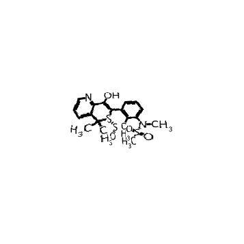 Cc1c(C2=C(O)c3ncccc3C(C)(C)S2=S=O)cccc1N(C)S(C)(=O)=O